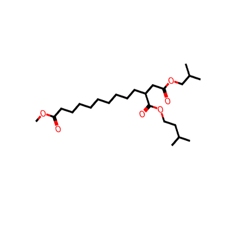 COC(=O)CCCCCCCCCC(CC(=O)OCC(C)C)C(=O)OCCC(C)C